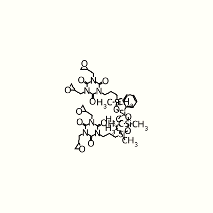 C[Si](C)(CCCn1c(=O)n(CC2CO2)c(=O)n(CC2CO2)c1=O)O[Si](C)(C)O[Si](C)(O[Si](C)(C)CCCn1c(=O)n(CC2CO2)c(=O)n(CC2CO2)c1=O)c1ccccc1